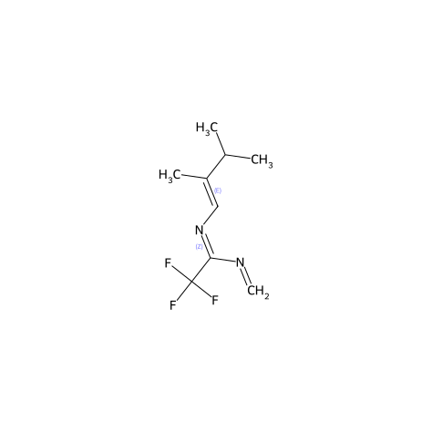 C=N/C(=N\C=C(/C)C(C)C)C(F)(F)F